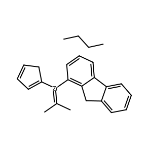 CCCC.C[C](C)=[Zr]([C]1=CC=CC1)[c]1cccc2c1Cc1ccccc1-2